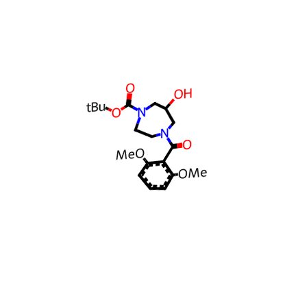 COc1cccc(OC)c1C(=O)N1CCN(C(=O)OC(C)(C)C)CC(O)C1